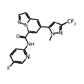 Cn1nc(C(F)(F)F)cc1-c1cc(C(=O)Nc2ccc(F)cn2)n2nccc2c1